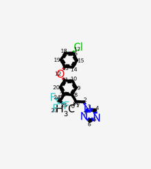 C[C@@H](Cn1cncn1)c1ccc(Oc2ccc(Cl)cc2)cc1C(F)(F)F